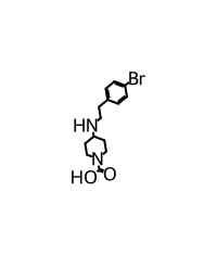 O=C(O)N1CCC(NCCc2ccc(Br)cc2)CC1